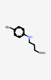 CNCCCNc1ccc(C(C)(C)C)cc1